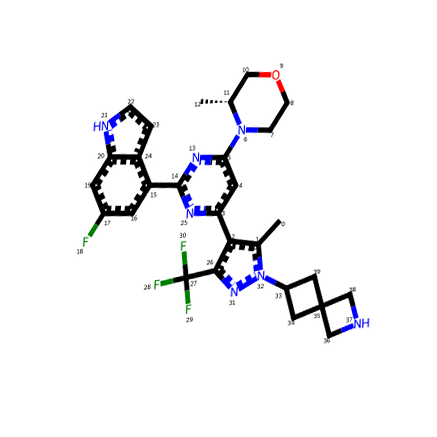 Cc1c(-c2cc(N3CCOC[C@H]3C)nc(-c3cc(F)cc4[nH]ccc34)n2)c(C(F)(F)F)nn1C1CC2(CNC2)C1